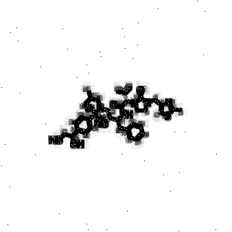 Cc1nc(CN2CCN([C@H](C(=O)N[C@@H](Cc3ccccc3)[C@H](O)CN(CC(C)C)S(=O)(=O)c3ccc(C(O)CO)cc3)C(C)C)C2=O)cs1